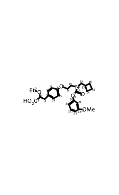 CCOC(Cc1ccc(OCCN(CC2CCC2)C(=O)Oc2cccc(OC)c2)cc1)C(=O)O